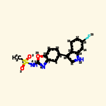 CS(=O)(=O)Nc1nc2cc(-c3c[nH]c4cc(F)ccc34)ccc2o1